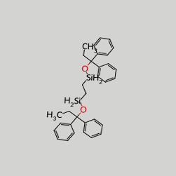 CCC(O[SiH2]CC[SiH2]OC(CC)(c1ccccc1)c1ccccc1)(c1ccccc1)c1ccccc1